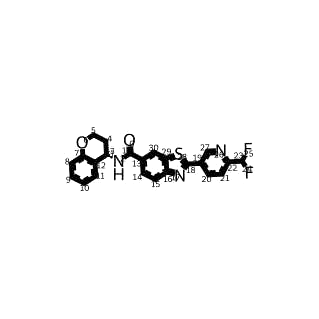 O=C(N[C@H]1CCOc2ccccc21)c1ccc2nc(-c3ccc(C(F)F)nc3)sc2c1